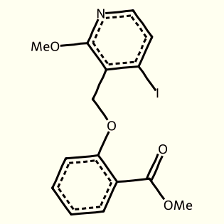 COC(=O)c1ccccc1OCc1c(I)ccnc1OC